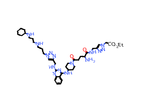 CCOC(=O)Cn1cc(CNC(=O)C(N)CCC(=O)N2CCC(Nc3nc(NCc4cn(CCCNCCCNC5CCCCC5)nn4)nc4ccccc34)CC2)nn1